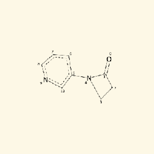 O=C1CCN1c1cccnc1